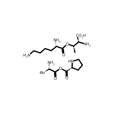 CC[C@H](C)[C@H](N)C(=O)OC(=O)[C@@H]1CCCN1.C[C@@H](OC(=O)[C@@H](N)CCCCN)[C@H](N)C(=O)O